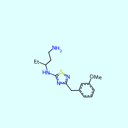 CCC(CCN)Nc1nc(Cc2cccc(OC)c2)ns1